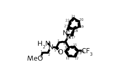 COCCN(N)C(=O)CC(c1cccc(C(F)(F)F)c1)n1cc2ccccc2n1